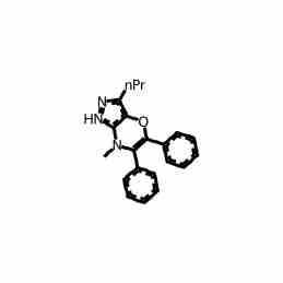 CCCc1n[nH]c2c1OC(c1ccccc1)=C(c1ccccc1)N2C